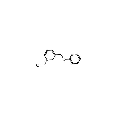 ClCN1C=CC=C(COc2ccccc2)C1